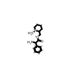 CN1CCCCC1COC(=O)C(N)c1ccccc1